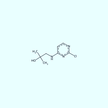 CC(C)(O)CNc1ccnc(Cl)n1